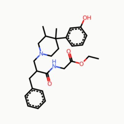 CCOC(=O)CNC(=O)C(Cc1ccccc1)CN1CCC(C)(c2cccc(O)c2)C(C)C1